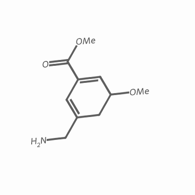 COC(=O)C1=CC(OC)CC(CN)=C1